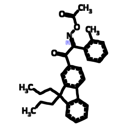 CCCC1(CCC)c2ccccc2-c2ccc(C(=O)/C(=N/OC(C)=O)c3ccccc3C)cc21